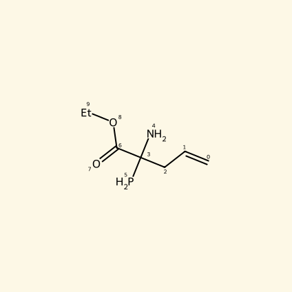 C=CCC(N)(P)C(=O)OCC